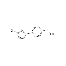 CSc1ccc(-c2[c]sc(Cl)n2)cc1